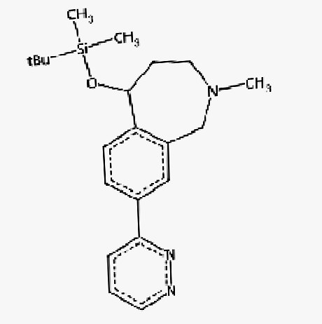 CN1CCC(O[Si](C)(C)C(C)(C)C)c2ccc(-c3cccnn3)cc2C1